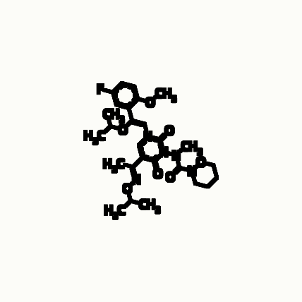 COc1ccc(F)cc1/C(=C/n1cc(/C(C)=N/OC(C)C)c(=O)n(N(C)C(=O)N2CCCCO2)c1=O)OC(C)C